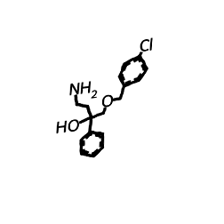 NCCC(O)(COCc1ccc(Cl)cc1)c1ccccc1